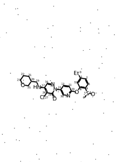 CCc1ccc([S+](C)[O-])c(Oc2ccc(-n3ncc(NCC4CCCOC4)c(Cl)c3=O)cn2)c1